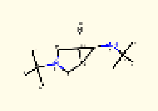 CC(C)(C)N[C@H]1C2CN(C(C)(C)C)C[C@H]21